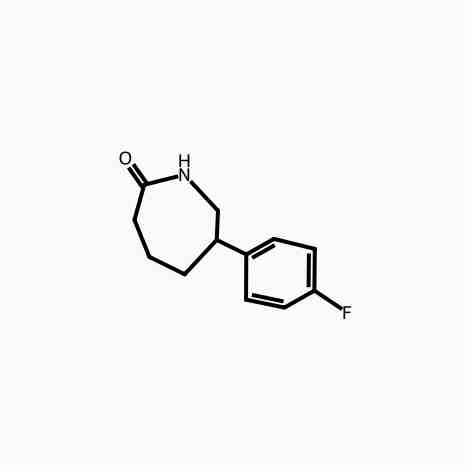 O=C1CCCC(c2ccc(F)cc2)CN1